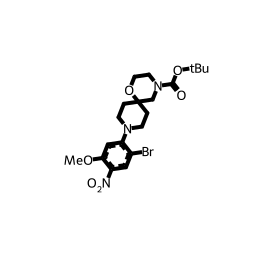 COc1cc(N2CCC3(CC2)CN(C(=O)OC(C)(C)C)CCO3)c(Br)cc1[N+](=O)[O-]